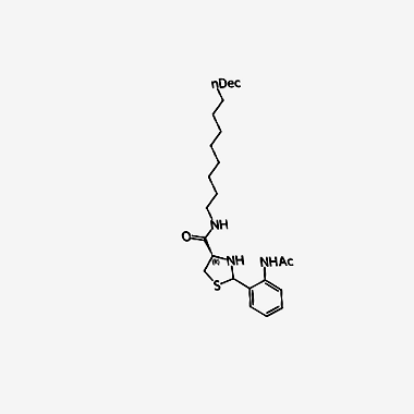 CCCCCCCCCCCCCCCCCCNC(=O)[C@@H]1CSC(c2ccccc2NC(C)=O)N1